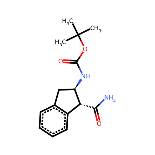 CC(C)(C)OC(=O)N[C@@H]1Cc2ccccc2[C@H]1C(N)=O